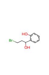 Oc1ccccc1C(O)CCBr